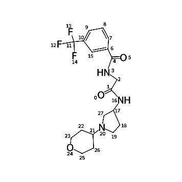 O=C(CNC(=O)c1cccc(C(F)(F)F)c1)NC1CCN(C2CCOCC2)C1